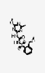 COCc1ccccc1S(=O)(=O)NC(=O)Nc1nc(C)nc(OC)n1